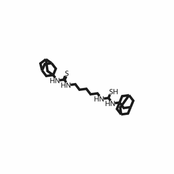 S=C(NCCCCCNC(S)NC12CC3CC(CC(C3)C1)C2)NC12CC3CC(C1)C(C3)C2